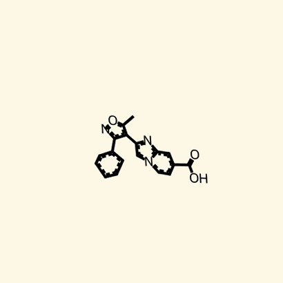 Cc1onc(-c2ccccc2)c1-c1cn2ccc(C(=O)O)cc2n1